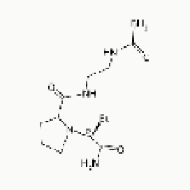 BC(=O)NCCNC(=O)C1CCCN1[C@@H](CC)C(N)=O